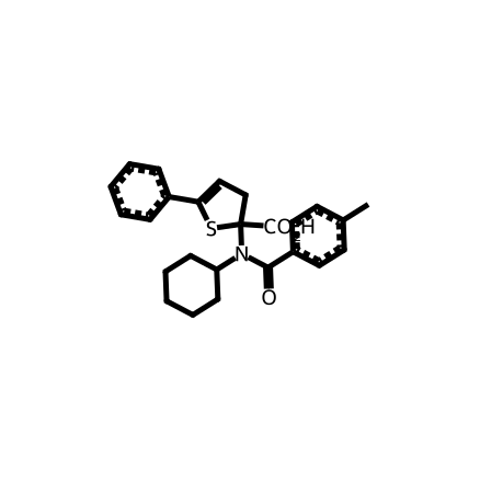 Cc1ccc(C(=O)N(C2CCCCC2)C2(C(=O)O)CC=C(c3ccccc3)S2)cc1